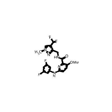 COc1ccc(Nc2cc(F)cc(F)c2)nc1C(=O)NCc1nn(C)cc1C(F)F